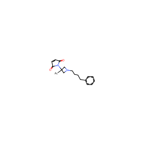 CC(=O)C1(N2C(=O)C=CC2=O)CN(CCCCc2ccccc2)C1